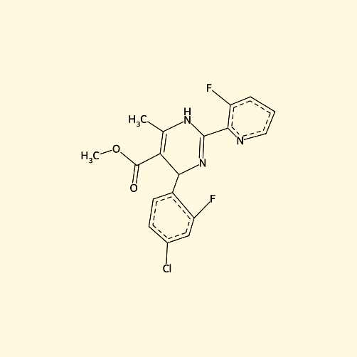 COC(=O)C1=C(C)NC(c2ncccc2F)=NC1c1ccc(Cl)cc1F